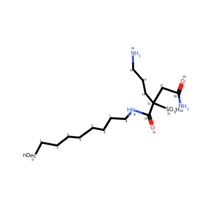 CCCCCCCCCCCCCCCCCCNC(=O)C(CCCN)(CC(N)=O)S(=O)(=O)O